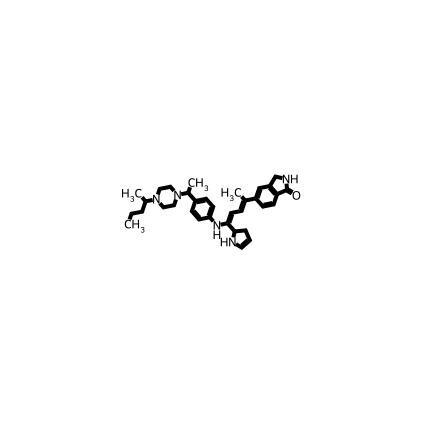 CCCC(C)N1CCN(C(C)c2ccc(N/C(=C/C=C(\C)c3ccc4c(c3)CNC4=O)C3CC=CN3)cc2)CC1